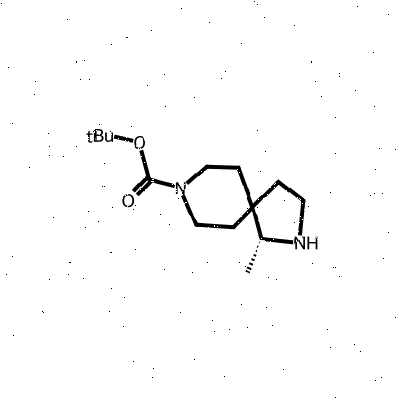 C[C@H]1NCCC12CCN(C(=O)OC(C)(C)C)CC2